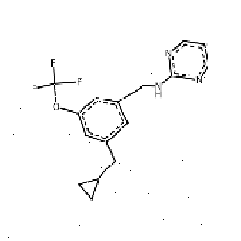 FC(F)(F)Oc1cc(CNc2nc[c]cn2)cc(CC2CC2)c1